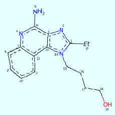 CCc1nc2c(N)nc3ccccc3c2n1CCCCO